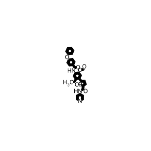 CC(C)c1cc(NC(=O)c2ccc(Oc3ccccc3)cc2)c(OC=O)cc1-c1ccc(C(=O)Nc2ccncc2)o1